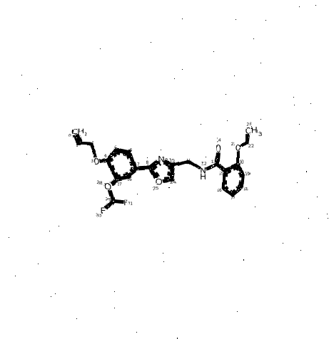 C=CCOc1ccc(-c2nc(CNC(=O)c3ccccc3OCC)co2)cc1OC(F)F